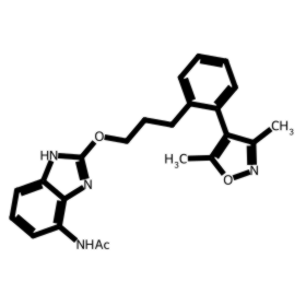 CC(=O)Nc1cccc2[nH]c(OCCCc3ccccc3-c3c(C)noc3C)nc12